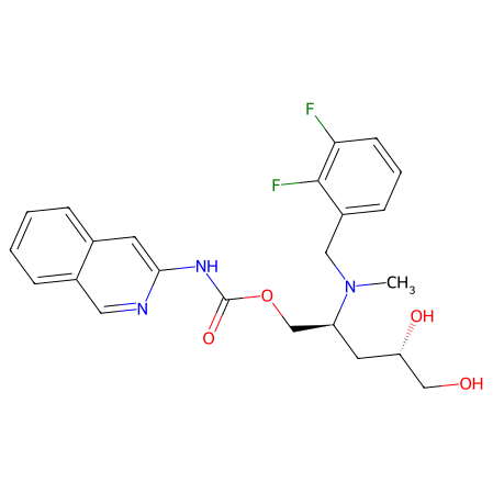 CN(Cc1cccc(F)c1F)[C@H](COC(=O)Nc1cc2ccccc2cn1)C[C@H](O)CO